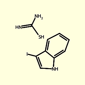 Ic1c[nH]c2ccccc12.N=C(N)S